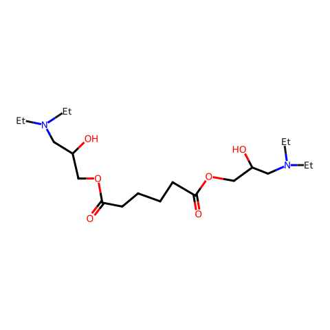 CCN(CC)CC(O)COC(=O)CCCCC(=O)OCC(O)CN(CC)CC